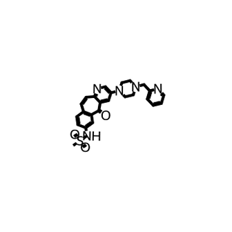 CS(=O)(=O)Nc1ccc2ccc3ncc(N4CCN(Cc5ccccn5)CC4)cc3c(=O)c2c1